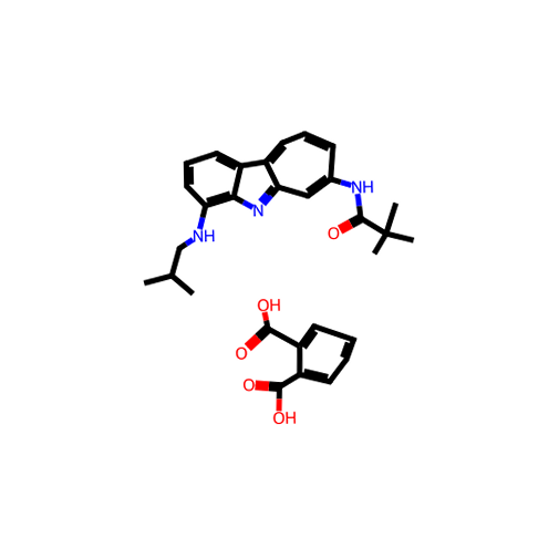 CC(C)CNc1cccc2c3cccc(NC(=O)C(C)(C)C)cc-3nc12.O=C(O)c1ccccc1C(=O)O